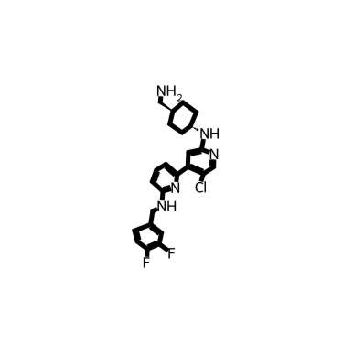 NC[C@H]1CC[C@H](Nc2cc(-c3cccc(NCc4ccc(F)c(F)c4)n3)c(Cl)cn2)CC1